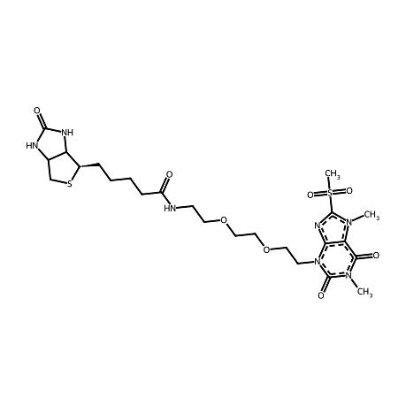 Cn1c(=O)c2c(nc(S(C)(=O)=O)n2C)n(CCOCCOCCNC(=O)CCCC[C@H]2SCC3NC(=O)NC32)c1=O